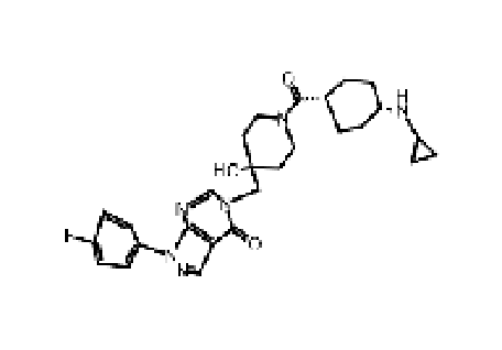 O=c1c2cnn(-c3ccc(F)cc3)c2ncn1CC1(O)CCN(C(=O)[C@H]2CC[C@@H](NC3CC3)CC2)CC1